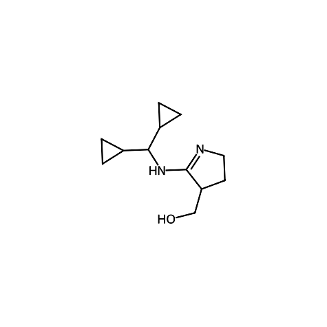 OCC1CCN=C1NC(C1CC1)C1CC1